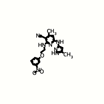 Cc1cc(Nc2cc(C)c(C#N)c(NCCOc3cccc([N+](=O)[O-])c3)n2)n[nH]1